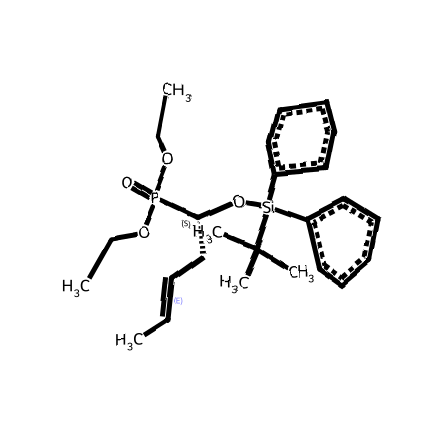 C/C=C/C[C@@H](O[Si](c1ccccc1)(c1ccccc1)C(C)(C)C)P(=O)(OCC)OCC